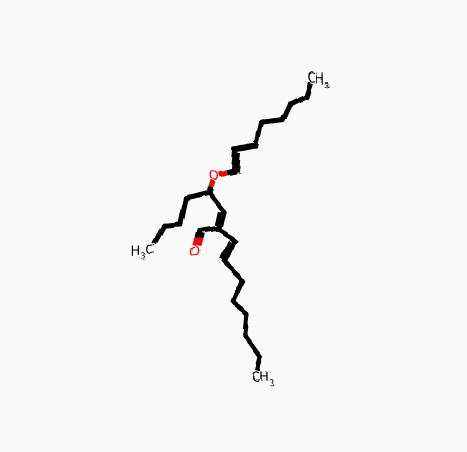 CCCCCCC=COC(C=C(C=O)C=CCCCCCC)CCCC